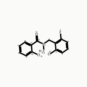 CN(Cc1c(F)cccc1Cl)C(=O)c1ccccc1Cl